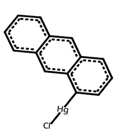 [Cl][Hg][c]1cccc2cc3ccccc3cc12